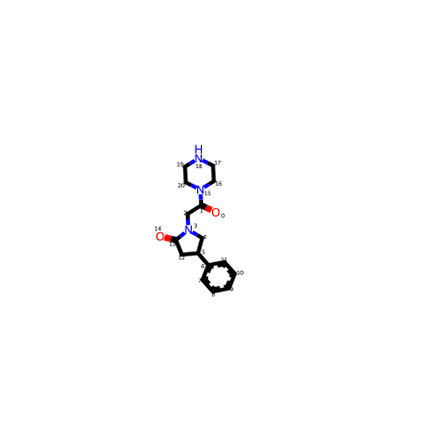 O=C(CN1CC(c2ccccc2)CC1=O)N1CCNCC1